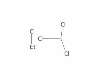 CCCl.ClC(Cl)Cl